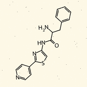 NC(Cc1ccccc1)C(=O)Nc1csc(-c2ccncc2)n1